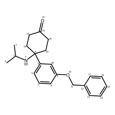 CC(C)NC1(c2cccc(OCc3ccccc3)c2)CCC(=O)CC1